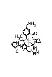 Cc1cc(CN)cc(C(=O)NC2CCC2)c1NC(=O)c1cc(Cn2nnnc2C(F)(F)F)nn1-c1ncccc1Cl